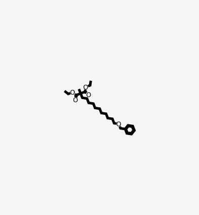 CCOC(=O)C(C)(CCCCCCCCCCCOCc1ccccc1)C(=O)OCC